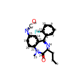 CCCC1N=C(c2ccccc2F)c2cc(N=C=O)ccc2N(C)C1=O